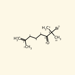 C=C(C)CCCC(=O)C(C)(C)Br